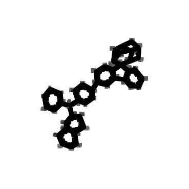 c1ccc(N(c2ccc(-c3ccc4c(c3)-c3ccccc3C43C4CC5CC(C4)CC3C5)cc2)c2ccc3ccccc3c2)cc1